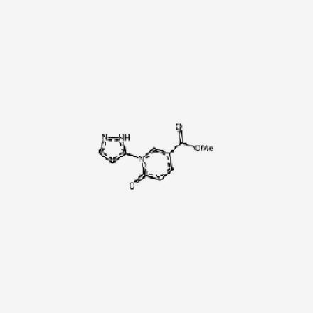 COC(=O)c1ccc(=O)n(-c2ccn[nH]2)c1